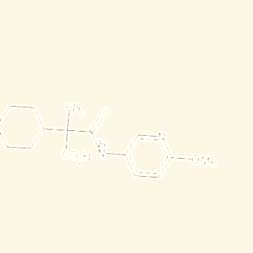 COc1ccc(NC(=O)C(C)(C(=O)O)C2CCCCC2)cn1